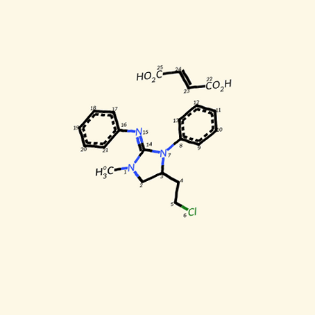 CN1CC(CCCl)N(c2ccccc2)C1=Nc1ccccc1.O=C(O)C=CC(=O)O